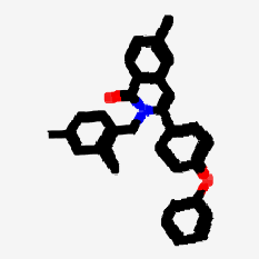 Cc1ccc(Cn2c(-c3ccc(Oc4ccccc4)cc3)cc3cc(C)ccc3c2=O)c(C)c1